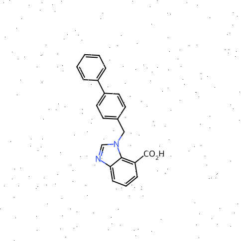 O=C(O)c1cccc2ncn(Cc3ccc(-c4ccccc4)cc3)c12